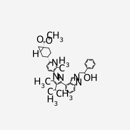 COC(=O)[C@]12CC[C@H](c3ccc(-n4nc(-c5cccc6nn(C[C@H](O)c7ccccc7)cc56)c(C(C)C)c4C)c(C)n3)C[C@H]1C2